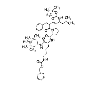 CC(C)C[C@@H](/C=C/[C@H](Cc1ccccc1)C(=O)N1CCC[C@H]1C(=O)N[C@@H](CCCCNC(=O)OCc1ccccc1)C(=O)NC1CC(C)(C)N(O)C(C)(C)C1)NC(=O)OC(C)(C)C